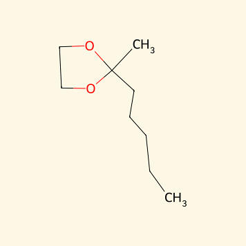 CCCCCC1(C)OCCO1